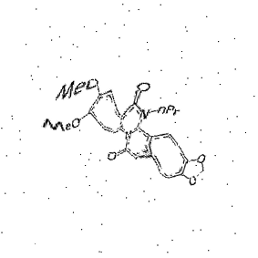 CCCn1c(=O)c2cc(OC)c(OC)cc2n2c(=O)cc3cc4c(cc3c12)OCO4